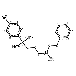 CCN(CCCC(C#N)(c1ccc(Br)cc1)C(C)C)CCc1ccccc1